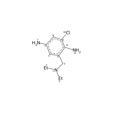 CCN(CC)Cc1cc(N)cc(Cl)c1N